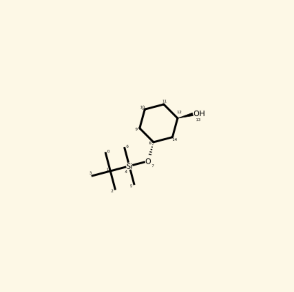 CC(C)(C)[Si](C)(C)O[C@@H]1C[CH]C[C@@H](O)C1